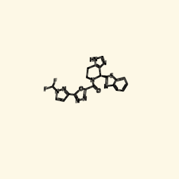 O=C(c1nnc(-c2ccn(C(F)F)n2)o1)N1CCc2[nH]cnc2[C@H]1c1nc2ccccc2s1